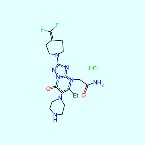 CCc1c(N2CCNCC2)c(=O)n2nc(N3CCC(=C(F)F)CC3)nc2n1CC(N)=O.Cl